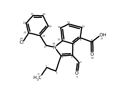 CCCc1c(C=O)c2c(C(=O)O)cccc2n1Cc1ccccc1Cl